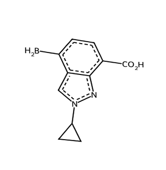 Bc1ccc(C(=O)O)c2nn(C3CC3)cc12